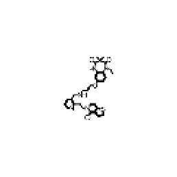 CCN1C(=O)C(C)(C)C(=O)N(C)c2cc(OCCCNCc3cccnc3CCn3ccc4sccc4c3=O)ccc21